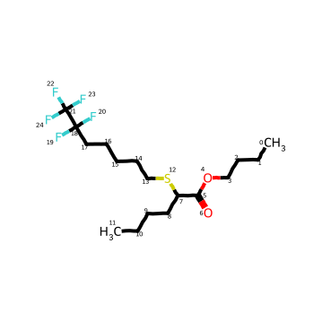 CCCCOC(=O)C(CCCC)SCCCCCC(F)(F)C(F)(F)F